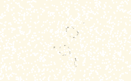 [2H]C([2H])Oc1ccc(-c2cccc3c2CCC3=O)c(OCC2(C(=O)OC(C)C)CC2)c1OC([2H])[2H]